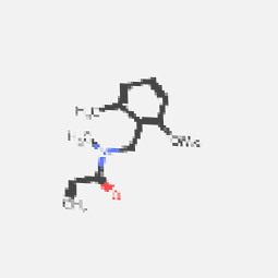 C=CC(=O)N(C)Cc1c(C)cccc1OC